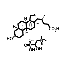 C[C@H](CCC(=O)O)[C@H]1CC[C@H]2[C@@H]3CC[C@@H]4C[C@H](O)CC[C@]4(C)[C@H]3CC[C@]12C.C[N+](C)(C)CC(O)P(=O)(O)O